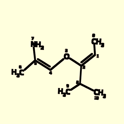 C/C=C(\O/C=C(/C)N)C(C)C